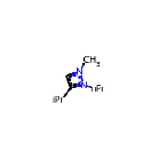 CCCn1c(C(C)C)cn1C